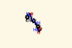 N#Cc1ccc2ncc(=O)n(CCN3CCC(NCc4ccc5c(c4)NC(=O)CO5)CC3)c2c1